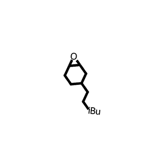 CCC(C)CCC1CCC2OC2C1